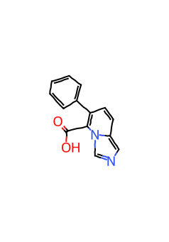 O=C(O)c1c(-c2ccccc2)ccc2cncn12